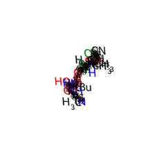 Cc1ncsc1-c1ccc(CNC(=O)[C@@H]2C[C@@H](O)CN2C(=O)[C@@H](NC(=O)COCCOc2ccc(-c3c(F)cc(C(=O)N[C@H]4C(C)(C)[C@H](Oc5ccc(C#N)c(Cl)c5)C4(C)C)cc3F)cc2)C(C)(C)C)cc1